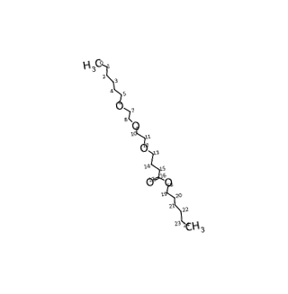 CCCCCCOCCOCCOCCCC(=O)OCCCCCC